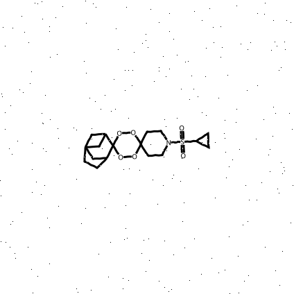 O=S(=O)(C1CC1)N1CCC2(CC1)OOC1(OO2)C2CCC3(C2)CC1C3